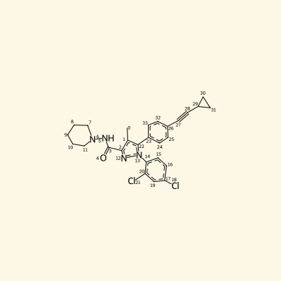 Cc1c(C(=O)NN2CCCCC2)nn(-c2ccc(Cl)cc2Cl)c1-c1ccc(C#CC2CC2)cc1